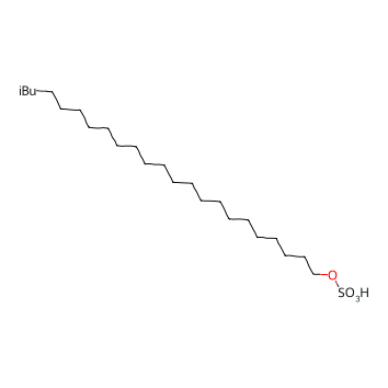 CCC(C)CCCCCCCCCCCCCCCCCCCCOS(=O)(=O)O